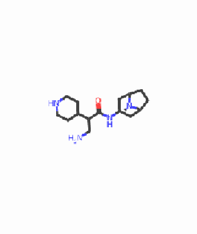 CN1C2CCC1CC(NC(=O)C(CN)C1CCNCC1)C2